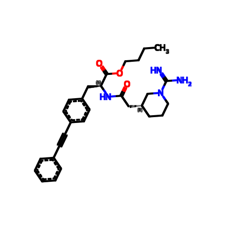 CCCCOC(=O)[C@H](Cc1ccc(C#Cc2ccccc2)cc1)NC(=O)C[C@H]1CCCN(C(=N)N)C1